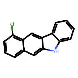 Clc1cccc2cc3[nH]c4ccccc4c3cc12